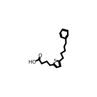 O=C(O)CCCc1ccc(CCCCCc2ccccc2)s1